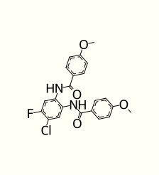 COc1ccc(C(=O)Nc2cc(F)c(Cl)cc2NC(=O)c2ccc(OC)cc2)cc1